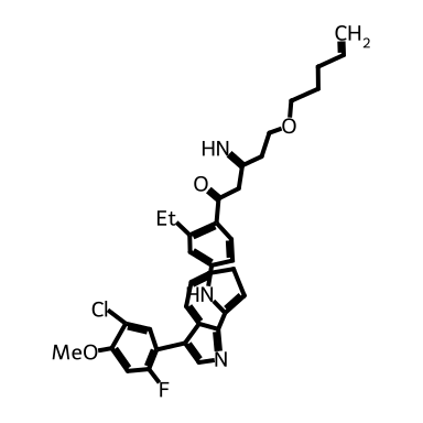 C=CCCCOCCC(=N)CC(=O)c1ccc(N/C2=C\C/C=C\C=C3\C(c4cc(Cl)c(OC)cc4F)=CN=C23)cc1CC